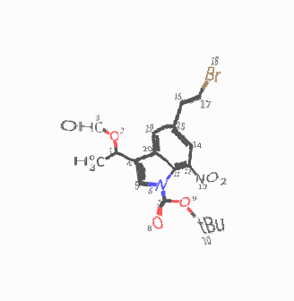 CC(OC=O)c1cn(C(=O)OC(C)(C)C)c2c([N+](=O)[O-])cc(CCBr)cc12